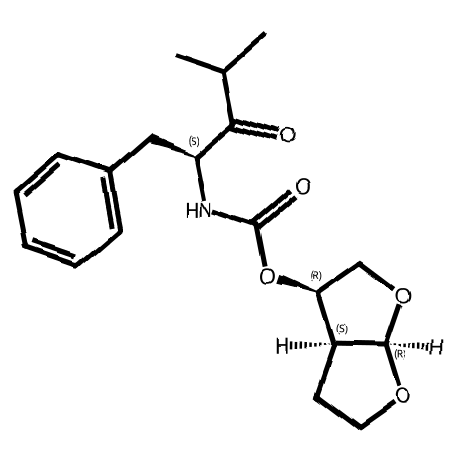 CC(C)C(=O)[C@H](Cc1ccccc1)NC(=O)O[C@H]1CO[C@H]2OCC[C@H]21